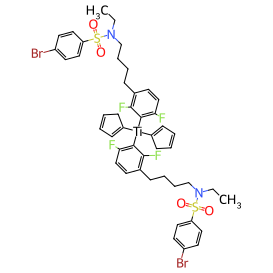 CCN(CCCCc1ccc(F)[c]([Ti]([C]2=CC=CC2)([C]2=CC=CC2)[c]2c(F)ccc(CCCCN(CC)S(=O)(=O)c3ccc(Br)cc3)c2F)c1F)S(=O)(=O)c1ccc(Br)cc1